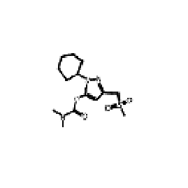 CN(C)C(=O)Oc1cc(CS(C)(=O)=O)nn1C1CCCCC1